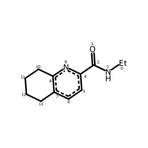 CCNC(=O)c1ccc2c(n1)CCCC2